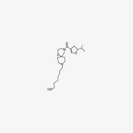 CC(C)C1CC(C(=O)N2CCOC3(CCN(CCCCCCCO)CC3)C2)=CS1